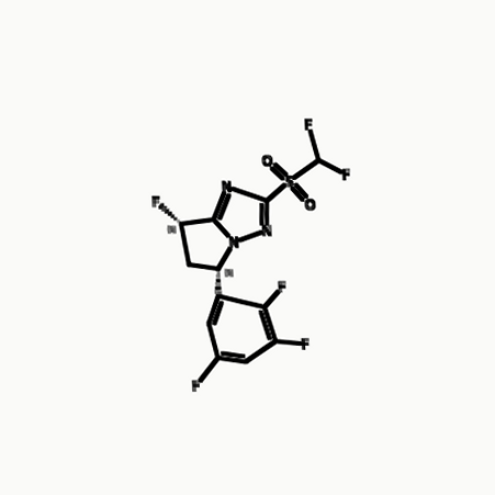 O=S(=O)(c1nc2n(n1)[C@H](c1cc(F)cc(F)c1F)C[C@@H]2F)C(F)F